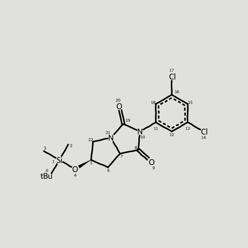 CC(C)(C)[Si](C)(C)O[C@@H]1CC2C(=O)N(c3cc(Cl)cc(Cl)c3)C(=O)N2C1